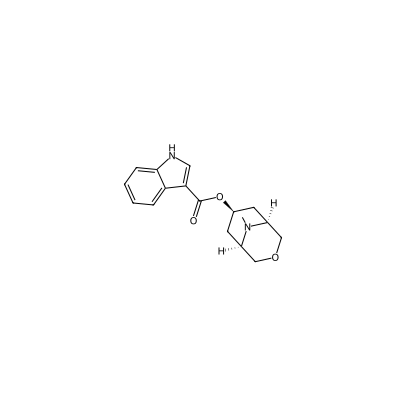 CN1[C@@H]2COC[C@H]1C[C@@H](OC(=O)c1c[nH]c3ccccc13)C2